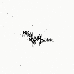 COc1cc(F)cc(-c2cncc3[nH]c(-c4n[nH]c5cnc(-c6cncc(NC(=O)CN(C)C)c6)cc45)cc23)c1